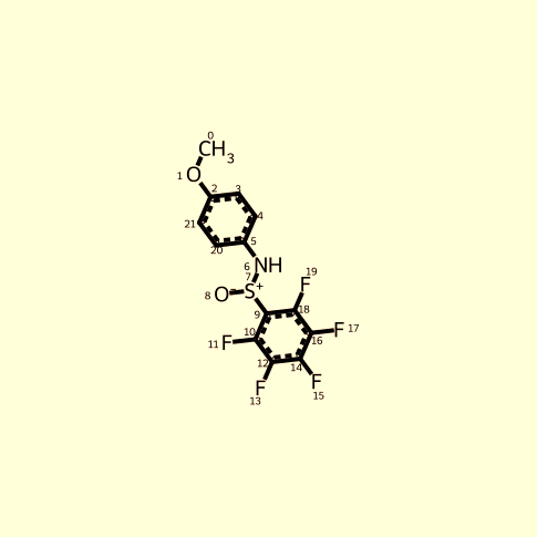 COc1ccc(N[S+]([O-])c2c(F)c(F)c(F)c(F)c2F)cc1